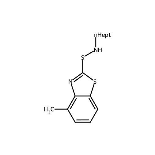 CCCCCCCNSc1nc2c(C)cccc2s1